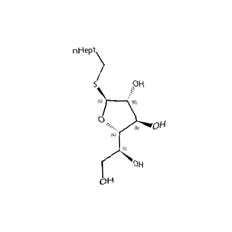 CCCCCCCCS[C@@H]1O[C@@H]([C@@H](O)CO)[C@H](O)[C@H]1O